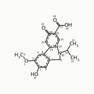 COc1cc2c(cc1O)CN(C(C)C)n1cc(C(=O)O)c(=O)cc1-2